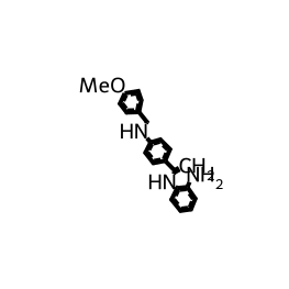 C=C(Nc1ccccc1N)c1ccc(NCc2ccc(OC)cc2)cc1